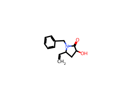 C=CC1CC(O)C(=O)N1Cc1ccccc1